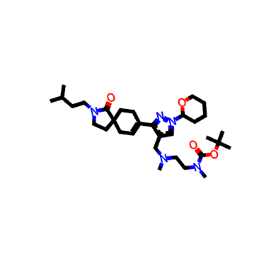 CC(C)CCN1CCC2(CC=C(c3nn(C4CCCCO4)cc3CN(C)CCN(C)C(=O)OC(C)(C)C)CC2)C1=O